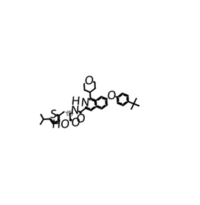 CC(C)c1ccc(C[C@H](NC(=O)c2cc3ccc(Oc4ccc(C(C)(C)C)cc4)cc3c(C3CCOCC3)n2)C(=O)O)s1